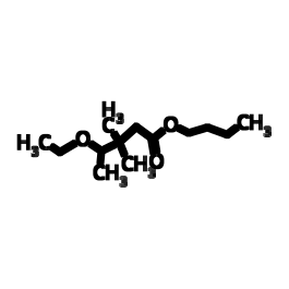 CCCCOC(=O)CC(C)(C)C(C)OCC